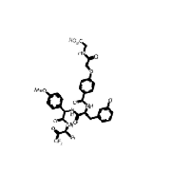 COc1ccc(C(NC(=O)C(Cc2cccc(Cl)c2)NC(=O)c2ccc(OCC(=O)NCC(=O)O)cc2)C(=O)NC(C(=O)C(F)(F)F)C(C)C)cc1